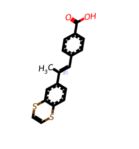 C/C(=C\c1ccc(C(=O)O)cc1)c1ccc2c(c1)SC=CS2